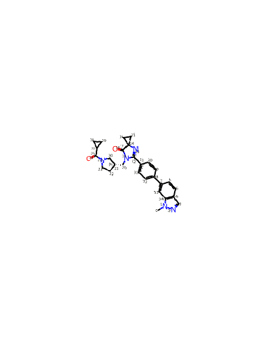 Cn1ncc2ccc(-c3ccc(C4=NC5(CC5)C(=O)N4C[C@@H]4CCN(C(=O)C5CC5)C4)cc3)cc21